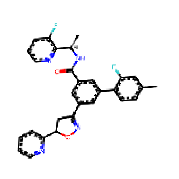 Cc1ccc(-c2cc(C(=O)N[C@H](C)c3ncccc3F)cc(C3=NOC(c4ccccn4)C3)c2)c(F)c1